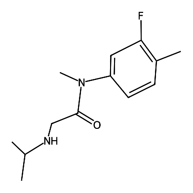 Cc1ccc(N(C)C(=O)CNC(C)C)cc1F